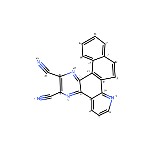 N#Cc1nc2c3cccnc3c3ccc4ccccc4c3c2nc1C#N